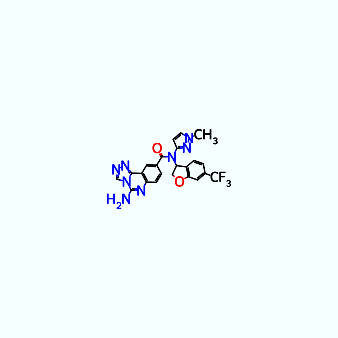 Cn1ccc(N(C(=O)c2ccc3nc(N)n4cnnc4c3c2)C2COc3cc(C(F)(F)F)ccc32)n1